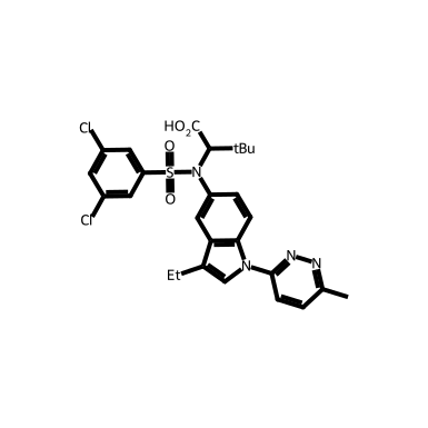 CCc1cn(-c2ccc(C)nn2)c2ccc(N(C(C(=O)O)C(C)(C)C)S(=O)(=O)c3cc(Cl)cc(Cl)c3)cc12